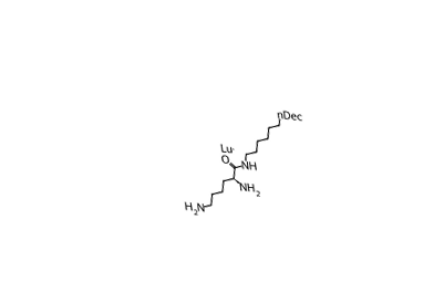 CCCCCCCCCCCCCCCCNC(=O)[C@@H](N)CCCCN.[Lu]